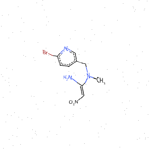 CN(Cc1ccc(Br)nc1)C(N)=C[N+](=O)[O-]